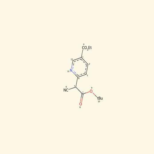 CCOC(=O)c1ccc(C(C#N)C(=O)OC(C)(C)C)nc1